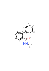 CCNC(=O)c1ccccc1-c1ccccc1